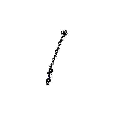 CN(C)c1ccc(/C=C/c2nc3ccc(OCCOCCOCCOCCOCCOCCOCCOCCOC(C(F)(F)F)C(F)(F)F)cc3o2)cc1